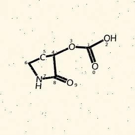 O=C(O)OC1CCNC1=O